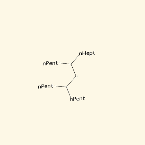 CCCCCCCC([CH]C(CCCCC)CCCCC)CCCCC